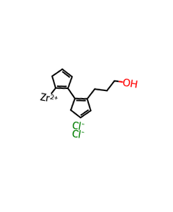 OCCCC1=C(C2=[C]([Zr+2])CC=C2)CC=C1.[Cl-].[Cl-]